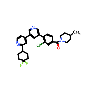 CC1CCN(C(=O)c2ccc(-c3cncc(-c4ccnc(C5CCC(F)(F)CC5)c4)c3)c(Cl)c2)CC1